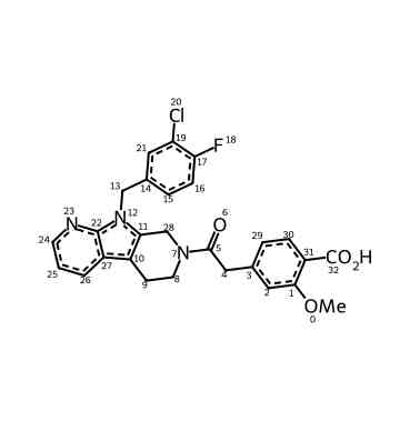 COc1cc(CC(=O)N2CCc3c(n(Cc4ccc(F)c(Cl)c4)c4ncccc34)C2)ccc1C(=O)O